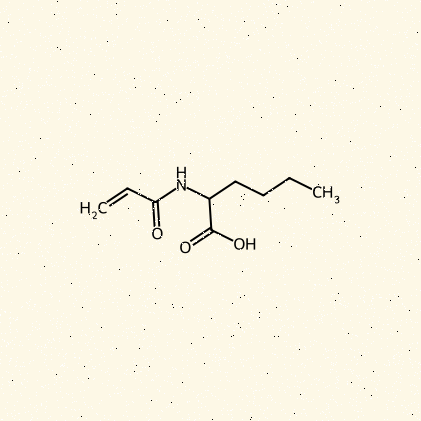 C=CC(=O)NC(CCCC)C(=O)O